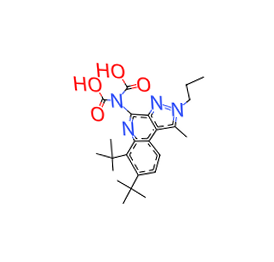 CCCn1nc2c(N(C(=O)O)C(=O)O)nc3c(C(C)(C)C)c(C(C)(C)C)ccc3c2c1C